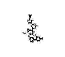 O=C(O)c1nc2ncnc(-c3ccc(F)cc3F)c2nc1CC(C1CC1)C1CCO[C@@H](c2cnn(C3CC3)c2)C1